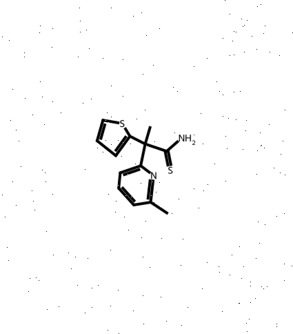 Cc1cccc(C(C)(C(N)=S)c2cccs2)n1